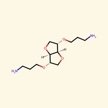 NCCCO[C@H]1CO[C@H]2[C@@H]1OC[C@@H]2OCCCN